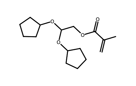 C=C(C)C(=O)OCC(OC1CCCC1)OC1CCCC1